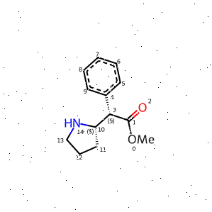 COC(=O)[C@@H](c1ccccc1)[C@@H]1CCCN1